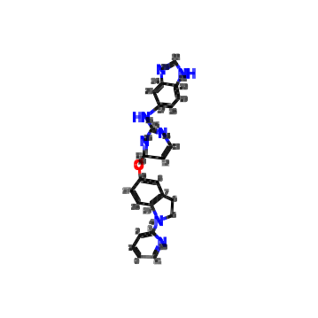 c1ccc(N2CCc3cc(Oc4ccnc(Nc5ccc6[nH]cnc6c5)n4)ccc32)nc1